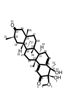 CO[C@]1(O)C(=O)C=C2C(=CC[C@H]3[C@@]2(C)CC[C@@]2(C)[C@@H]4C[C@@H](C)C(=O)C[C@]4(C)CC[C@]32C)[C@@]1(C)O